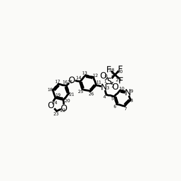 O=S(=O)(N(Cc1cccnc1)c1ccc(Oc2ccc3c(c2)OCO3)cc1)C(F)(F)F